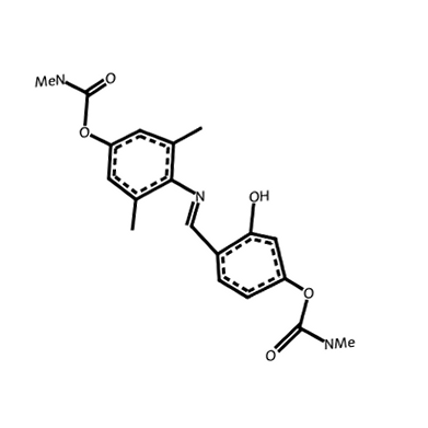 CNC(=O)Oc1cc(C)c(/N=C/c2ccc(OC(=O)NC)cc2O)c(C)c1